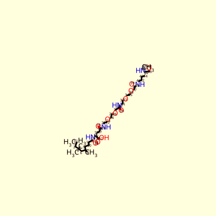 CCCC(C)(C)CC(C)CCCC(=O)N[C@@H](CCC(=O)NCCOCCOCC(=O)NCCOCCOCC(=O)NCCCC[C@@H](C=O)NC)C(=O)O